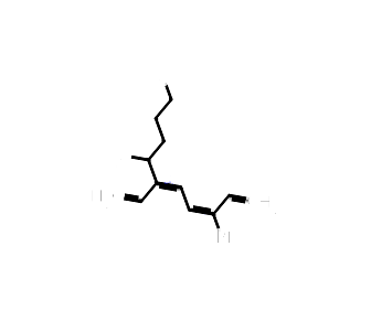 B/C(C=C)=C/C=C(\C=C)C(C)CCCC